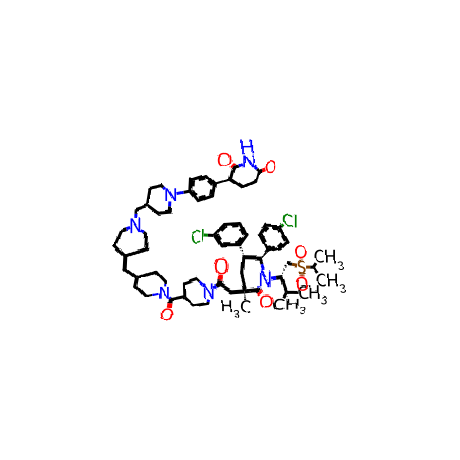 CC(C)[C@@H](CS(=O)(=O)C(C)C)N1C(=O)[C@@](C)(CC(=O)N2CCC(C(=O)N3CCC(CC4CCN(CC5CCN(c6ccc(C7CCC(=O)NC7=O)cc6)CC5)CC4)CC3)CC2)C[C@H](c2cccc(Cl)c2)[C@H]1c1ccc(Cl)cc1